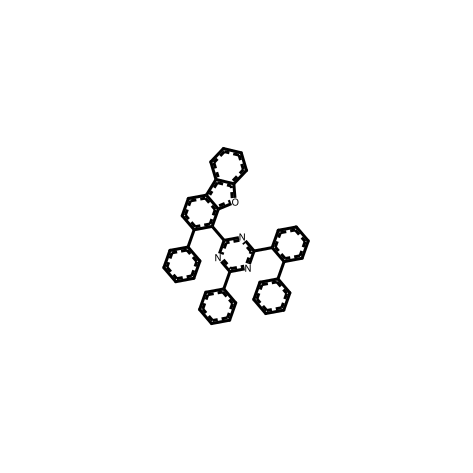 c1ccc(-c2nc(-c3ccccc3-c3ccccc3)nc(-c3c(-c4ccccc4)ccc4c3oc3ccccc34)n2)cc1